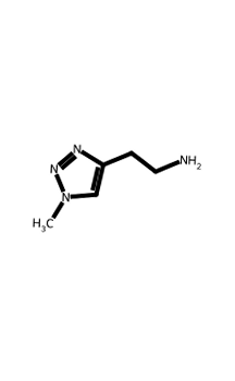 Cn1cc(CCN)nn1